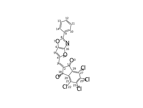 O=C1C(=Cc2cc3oc(-c4ccccc4)nc3o2)C(=O)c2c(Cl)c(Cl)c(Cl)c(Cl)c21